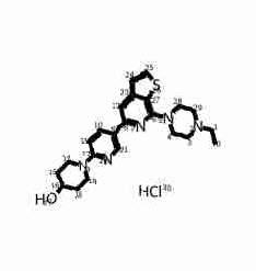 CCN1CCN(c2nc(-c3ccc(N4CCC(O)CC4)nc3)cc3ccsc23)CC1.Cl